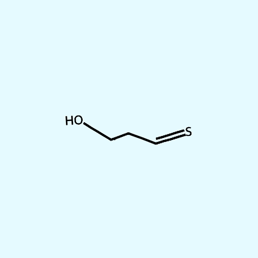 O[CH]CC=S